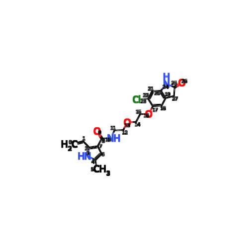 C=Cc1[nH]c(C)cc1C(=O)NCCOCCOc1cc2c(cc1Cl)NC(=O)C2